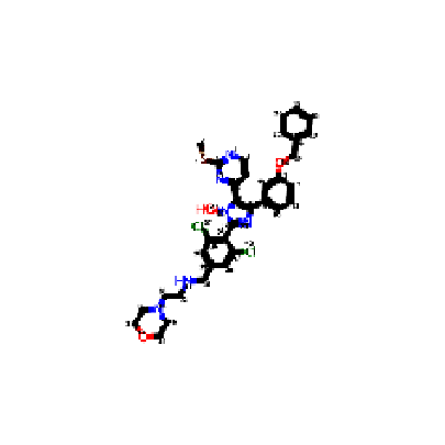 CSc1nccc(-c2c(-c3cccc(OCc4ccccc4)c3)nc(-c3c(Cl)cc(CNCCN4CCOCC4)cc3Cl)n2O)n1